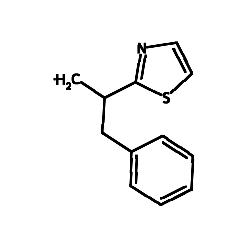 [CH2]C(Cc1ccccc1)c1nccs1